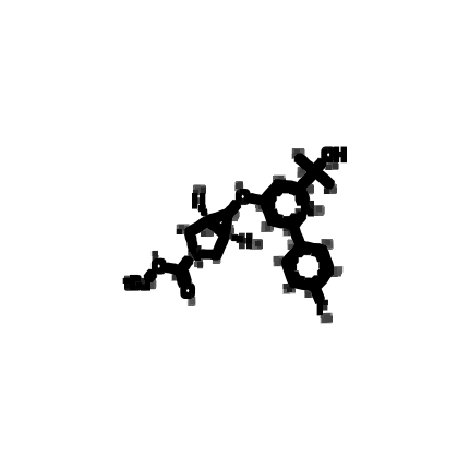 CC(C)(C)OC(=O)N1C[C@@H]2C(Oc3cc(-c4ccc(F)cc4)nc(C(C)(C)O)c3)[C@@H]2C1